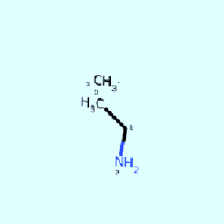 CCN.[CH3]